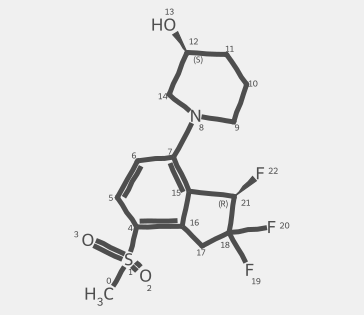 CS(=O)(=O)c1ccc(N2CCC[C@H](O)C2)c2c1CC(F)(F)[C@@H]2F